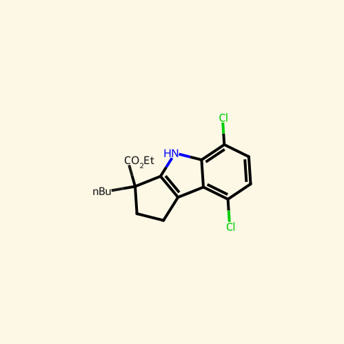 CCCCC1(C(=O)OCC)CCc2c1[nH]c1c(Cl)ccc(Cl)c21